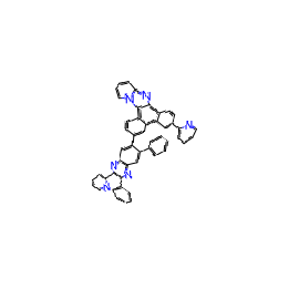 c1ccc(-c2cc3nc(-c4ccccc4)c(-c4ccccn4)nc3cc2-c2ccc3c(c2)c2cc(-c4ccccn4)ccc2c2nc4ccccn4c32)cc1